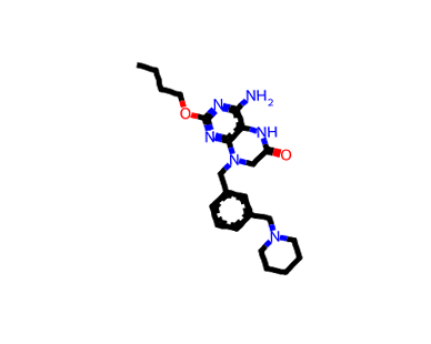 CCCCOc1nc(N)c2c(n1)N(Cc1cccc(CN3CCCCC3)c1)CC(=O)N2